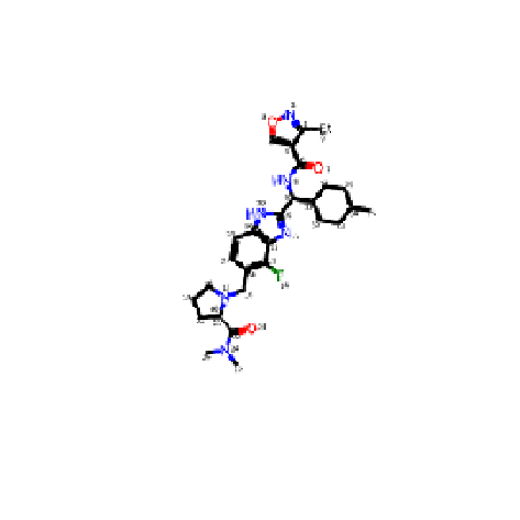 CCc1nocc1C(=O)NC(c1nc2c(F)c(CN3CCC[C@@H]3C(=O)N(C)C)ccc2[nH]1)C1CCC(C)CC1